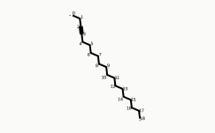 [CH2]CC#CCCCCCCCCCCCCCC[CH2]